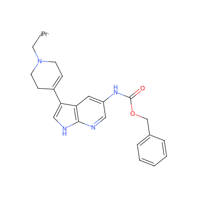 C[C](C)CN1CC=C(c2c[nH]c3ncc(NC(=O)OCc4ccccc4)cc23)CC1